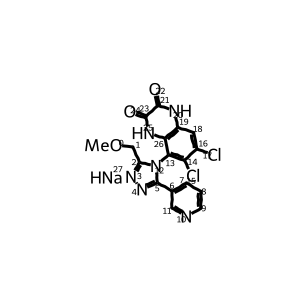 COCc1nnc(-c2cccnc2)n1-c1c(Cl)c(Cl)cc2[nH]c(=O)c(=O)[nH]c12.[NaH]